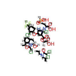 C=CCN(CC=C)C(=O)C(Cl)Cl.CCc1cccc(CC)c1N(COC)C(=O)CCl.CP(=O)(O)CCC(N)C(=O)O.C[C@H](OC(=O)c1cc(Oc2ccc(C(F)(F)F)cc2Cl)ccc1Cl)C(=O)O